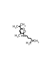 C=C(C)C(=O)C=C(C)C(=O)NCCC[N+](C)C